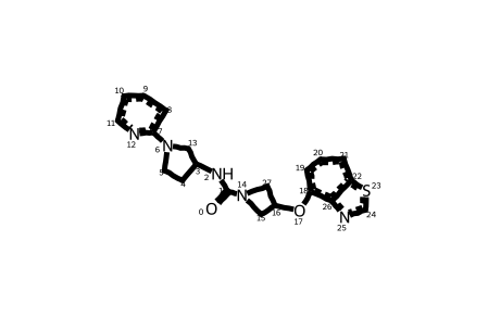 O=C(NC1CCN(c2ccccn2)C1)N1CC(Oc2cccc3scnc23)C1